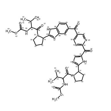 COC(=O)NC(C(=O)N1CCCC1c1ncc(C(=O)c2ncc(C(=O)c3ccc4[nH]c(C5CCCN5C(=O)C(NC(=O)OC)C(C)C)nc4c3)cn2)[nH]1)C(C)C